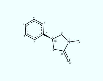 CN1C[C@H](c2ccccc2)CC1=O